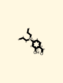 CCCN(CCC)c1ccc(C=O)c(O)c1